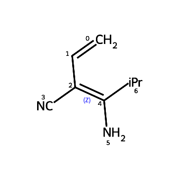 C=C/C(C#N)=C(/N)C(C)C